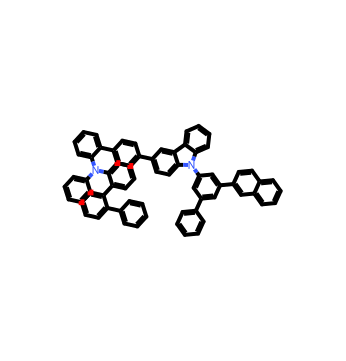 c1ccc(-c2cc(-c3ccc4ccccc4c3)cc(-n3c4ccccc4c4cc(-c5ccc(-c6ccccc6N(c6ccccc6)c6ccccc6-c6ccccc6-c6ccccc6)cc5)ccc43)c2)cc1